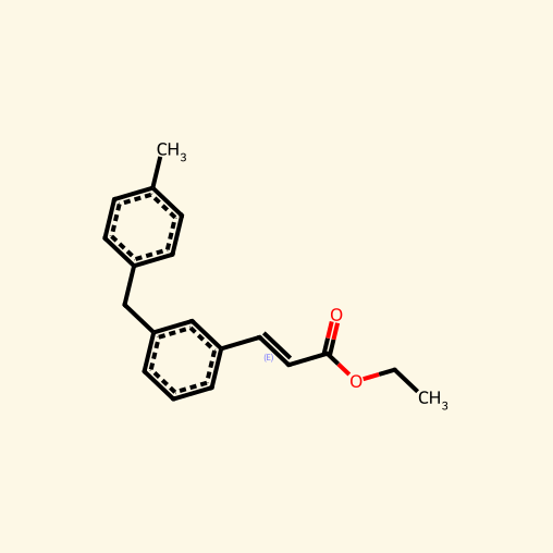 CCOC(=O)/C=C/c1cccc(Cc2ccc(C)cc2)c1